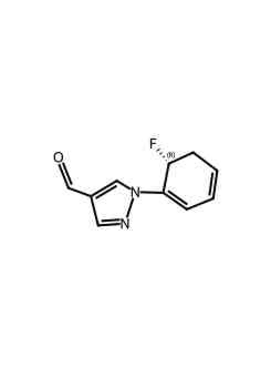 O=Cc1cnn(C2=CC=CC[C@H]2F)c1